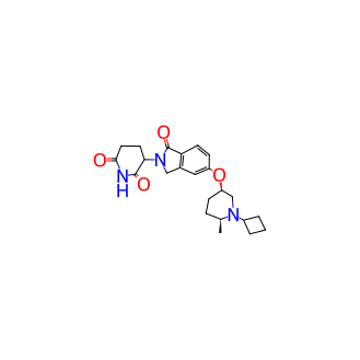 C[C@H]1CC[C@@H](Oc2ccc3c(c2)CN(C2CCC(=O)NC2=O)C3=O)CN1C1CCC1